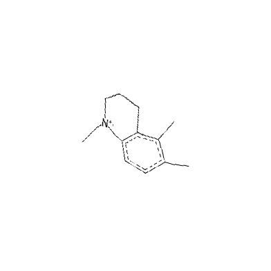 Cc1ccc2c(c1C)CCC[N+]2C